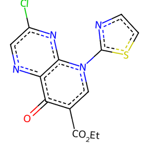 CCOC(=O)c1cn(-c2nccs2)c2nc(Cl)cnc2c1=O